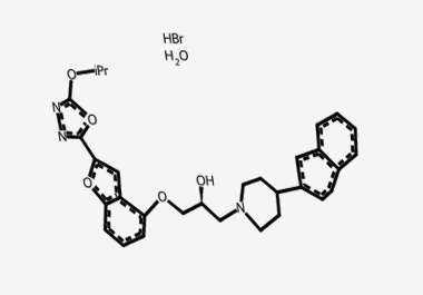 Br.CC(C)Oc1nnc(-c2cc3c(OC[C@@H](O)CN4CCC(c5ccc6ccccc6c5)CC4)cccc3o2)o1.O